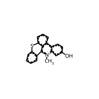 C[n+]1c2c3c(cccc3c3ccc(O)cc31)Sc1ccccc1-2